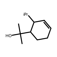 CC(C)C1C=CCCC1C(C)(C)O